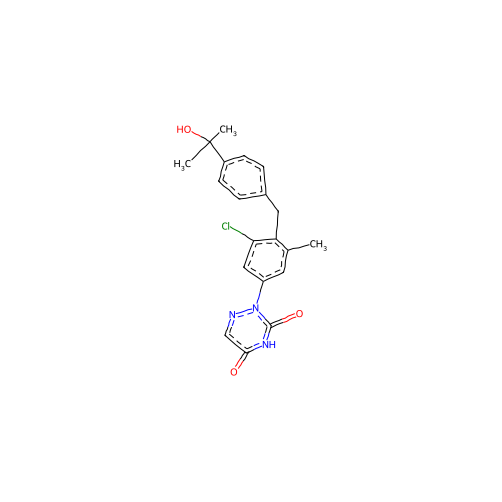 Cc1cc(-n2ncc(=O)[nH]c2=O)cc(Cl)c1Cc1ccc(C(C)(C)O)cc1